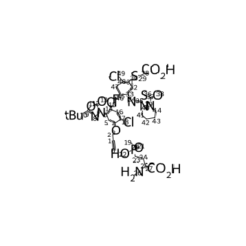 C#CCOc1cc(-n2nc(C(C)(C)C)oc2=O)c(Cl)cc1Cl.CP(=O)(O)CCC(N)C(=O)O.O=C(O)CSc1cc(N=c2sc(=O)n3n2CCCC3)c(F)cc1Cl